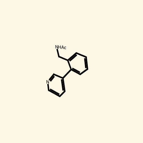 CC(=O)NCc1ccccc1-c1[c]nccc1